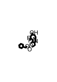 O=C(OCc1ccccc1)N1CCc2nn3c(c2C1)C(F)(F)CC(O)CC3